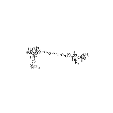 CCS(=O)(=O)Nc1ccc(-c2n[nH]c(Nc3ccnc(OCCOCCOCCOCCOCCOCCOCC(=O)N[C@H](C(=O)N4C[C@H](O)C[C@H]4C(=O)NCc4ccc(-c5scnc5C)cc4)C(C)(C)C)c3)c2C(N)=O)cc1